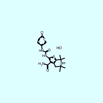 CC1(C)Cc2c(sc(NC(=O)Nc3ccc(Cl)cc3)c2C(N)=O)C(C)(C)N1.Cl